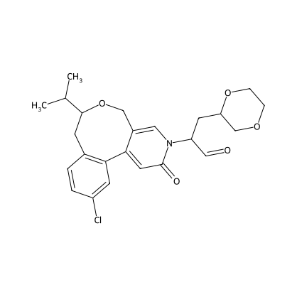 CC(C)C1Cc2ccc(Cl)cc2-c2cc(=O)n(C(C=O)CC3COCCO3)cc2CO1